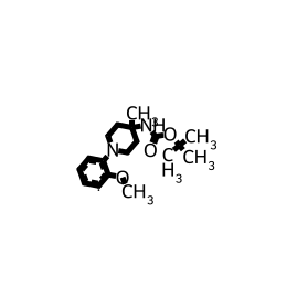 COc1[c]cccc1N1CCC(C)(NC(=O)OC(C)(C)C)CC1